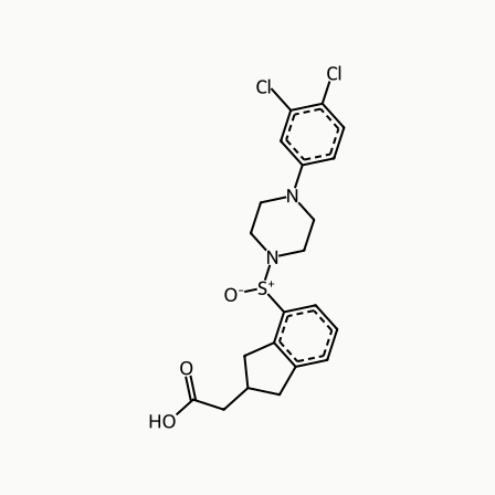 O=C(O)CC1Cc2cccc([S+]([O-])N3CCN(c4ccc(Cl)c(Cl)c4)CC3)c2C1